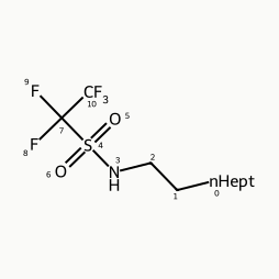 CCCCCCCCCNS(=O)(=O)C(F)(F)C(F)(F)F